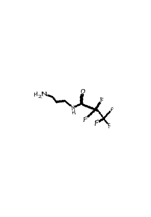 NCCNC(=O)C(F)(F)C(F)(F)F